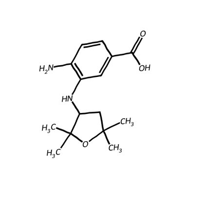 CC1(C)CC(Nc2cc(C(=O)O)ccc2N)C(C)(C)O1